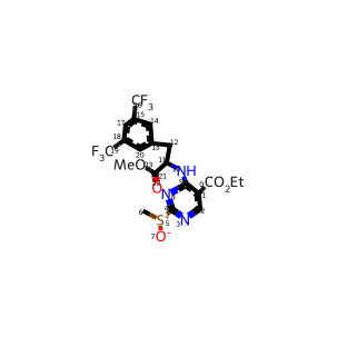 CCOC(=O)c1cnc([S+](C)[O-])nc1NC(Cc1cc(C(F)(F)F)cc(C(F)(F)F)c1)C(=O)OC